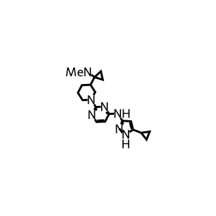 CNC1(C2CCCN(c3nccc(Nc4cc(C5CC5)[nH]n4)n3)C2)CC1